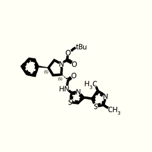 Cc1nc(C)c(-c2csc(NC(=O)[C@@H]3C[C@@H](c4ccccc4)CN3C(=O)OC(C)(C)C)n2)s1